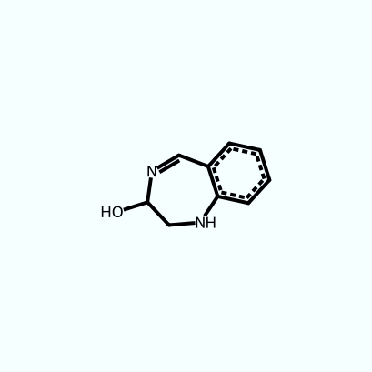 OC1CNc2ccccc2C=N1